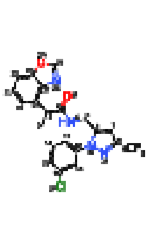 CC(C(=O)NCc1cc(C(F)(F)F)nn1-c1cccc(Cl)c1)c1cccc2ocnc12